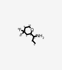 CCC(N)C1CC(F)(F)CCO1